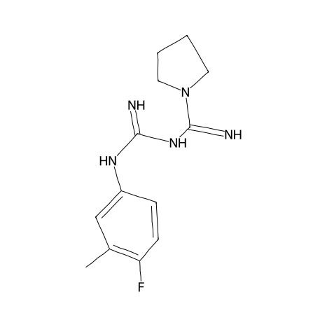 Cc1cc(NC(=N)NC(=N)N2CCCC2)ccc1F